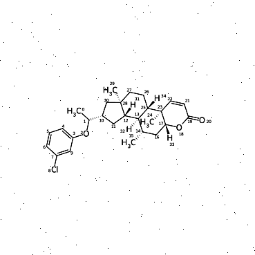 CC(Oc1cccc(Cl)c1)[C@H]1C[C@H]2[C@@H]3[C@@H](C)C[C@H]4OC(=O)C=C[C@]4(C)[C@H]3CC[C@]2(C)C1